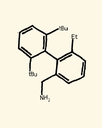 CCc1cccc(CN)c1-c1c(C(C)(C)C)c[c]cc1C(C)(C)C